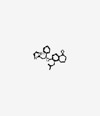 C=C(C)Cc1c(O[C@@H](Cc2ncc[nH]2)c2ccccc2)ccc2c1CCCC2=O